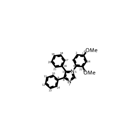 COc1ccc(-n2cnc(-c3ccccc3)c2-c2ccccc2)c(OC)c1